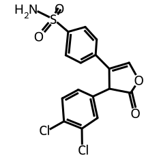 NS(=O)(=O)c1ccc(C2=COC(=O)C2c2ccc(Cl)c(Cl)c2)cc1